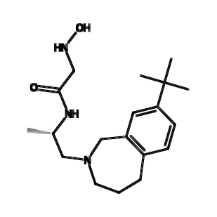 C[C@@H](CN1CCCc2ccc(C(C)(C)C)cc2C1)NC(=O)CNO